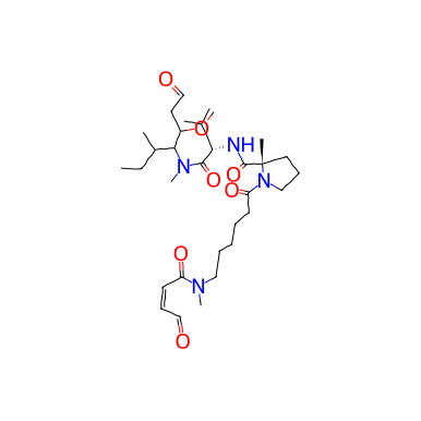 CCC(C)C(C(CC=O)OC)N(C)C(=O)[C@@H](NC(=O)[C@]1(C)CCCN1C(=O)CCCCCN(C)C(=O)/C=C\C=O)C(C)C